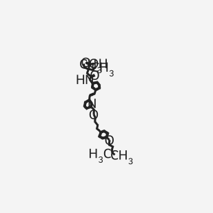 CCC(CC)(CC(=O)Nc1cccc(C=Cc2cccc(COCCCCc3ccc(OCCC(C)C)cc3)n2)c1)C(=O)O